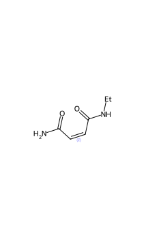 CCNC(=O)/C=C\C(N)=O